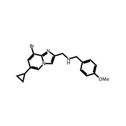 COc1ccc(CNCc2cn3cc(C4CC4)cc(Br)c3n2)cc1